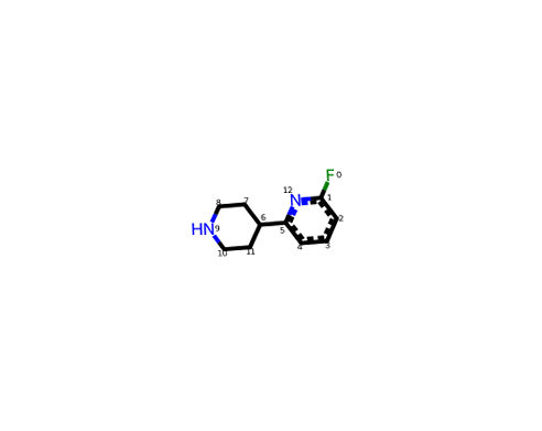 Fc1cccc(C2CCNCC2)n1